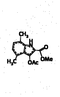 COC(=O)c1[nH]c2c(C)ccc(C)c2c1OC(C)=O